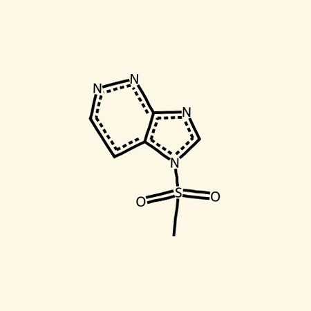 CS(=O)(=O)n1cnc2nnccc21